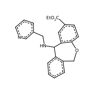 CCOC(=O)c1ccc2c(c1)C(NCc1cccnc1)c1ccccc1CO2